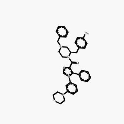 N#Cc1ccc(C[C@@H]2CN(Cc3ccccc3)CCN2C(=O)c2ncn(-c3cccc(N4CCOCC4)c3)c2-c2ccccc2)cc1